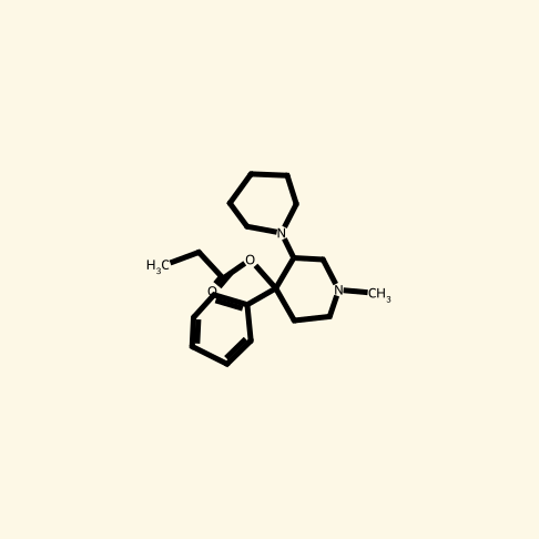 CCC(=O)OC1(c2ccccc2)CCN(C)CC1N1CCCCC1